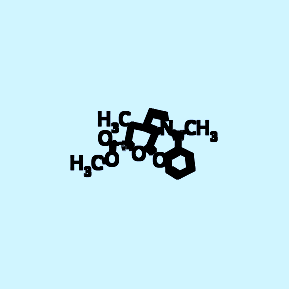 COC(=O)[C@H]1OC(=O)c2c(ccn2[C@H](C)c2ccccc2)C1C